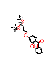 C[Si](C)(C)O[Si](C)(CCCOc1ccc(C(=O)c2ccccc2)c(O)c1)O[Si](C)(C)C